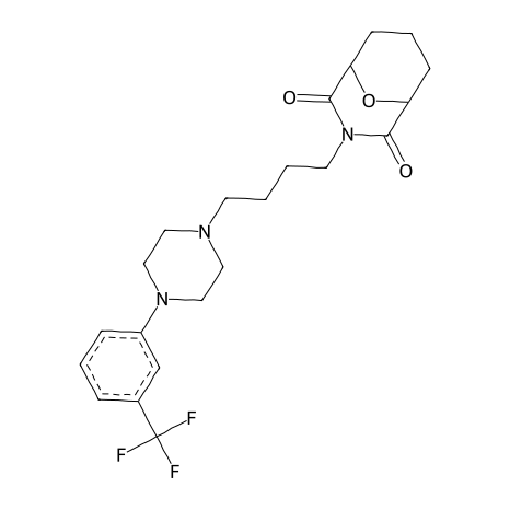 O=C1C2CCCC(O2)C(=O)N1CCCCN1CCN(c2cccc(C(F)(F)F)c2)CC1